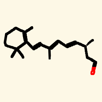 CC1=C(/C=C/C(C)=C/C=C/[C@H](C)CC=O)C(C)(C)CCC1